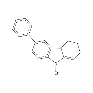 CCN1C2=CCCCC2c2cc(-c3ccccc3)ccc21